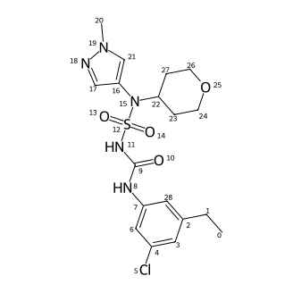 CCc1cc(Cl)cc(NC(=O)NS(=O)(=O)N(c2cnn(C)c2)C2CCOCC2)c1